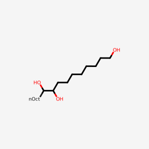 CCCCCCCCC(O)C(O)CCCCCCCCO